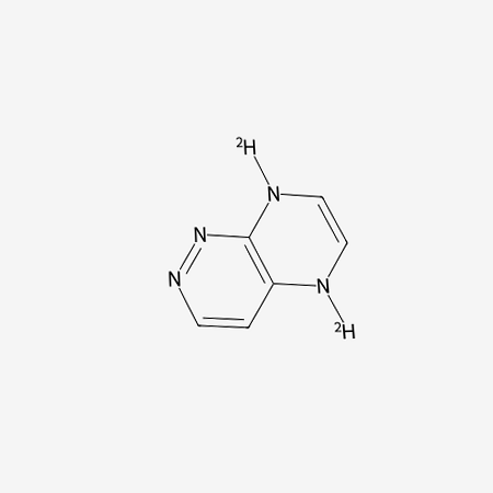 [2H]N1C=CN([2H])c2nnccc21